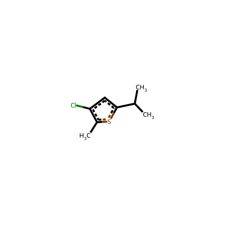 Cc1sc(C(C)C)cc1Cl